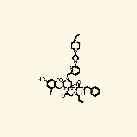 C=CCN1CC(=O)N2[C@@H](Cc3c(F)cc(O)cc3F)C(=O)N(Cc3cccc(N4CC(N5CCN(CC)CC5)C4)n3)C[C@@H]2N1C(=O)NCc1ccccc1